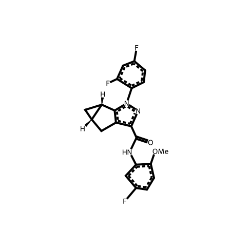 COc1ccc(F)cc1NC(=O)c1nn(-c2ccc(F)cc2F)c2c1C[C@@H]1C[C@H]21